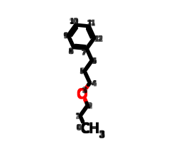 CCCOCCCc1ccccc1